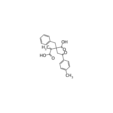 C=C(C(=O)O)C(CC(=O)c1ccc(C)cc1)(Cc1ccccc1)C(=O)O